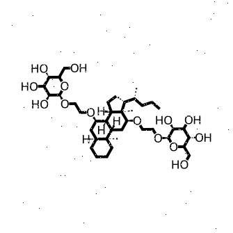 CCC[C@@H](C)[C@H]1CC[C@H]2[C@@H]3[C@H](OCCO[C@@H]4OC(CO)[C@@H](O)C(O)[C@@H]4O)C[C@@H]4CCCC[C@]4(C)[C@H]3C[C@H](OCCO[C@@H]3OC(CO)[C@@H](O)C(O)[C@@H]3O)[C@]12C